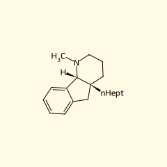 CCCCCCC[C@]12CCCN(C)[C@H]1c1ccccc1C2